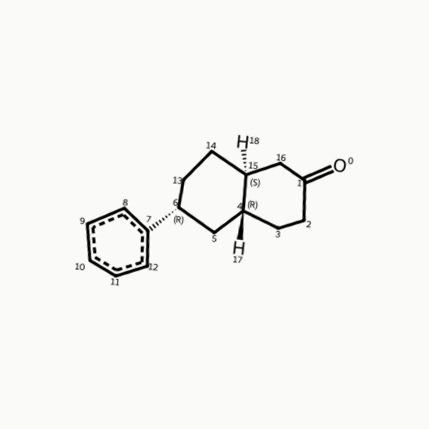 O=C1CC[C@@H]2C[C@H](c3ccccc3)CC[C@H]2C1